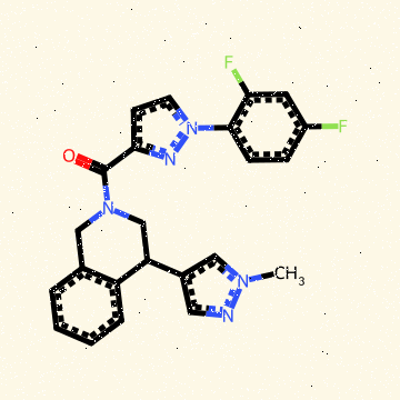 Cn1cc(C2CN(C(=O)c3ccn(-c4ccc(F)cc4F)n3)Cc3ccccc32)cn1